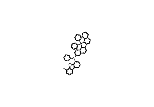 Cc1cccc2c1oc1c(N(c3ccccc3)c3ccc4c5c(ccc4c3)-c3ccc4ccccc4c3C5(c3ccccc3)c3ccccc3)cccc12